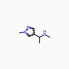 CNC(C)c1cnn(C)c1